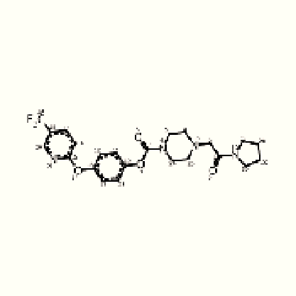 O=C(CN1CCN(C(=O)Oc2ccc(Oc3ccc(C(F)(F)F)cn3)cc2)CC1)N1CCCC1